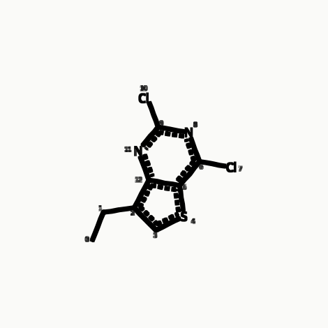 CCc1csc2c(Cl)nc(Cl)nc12